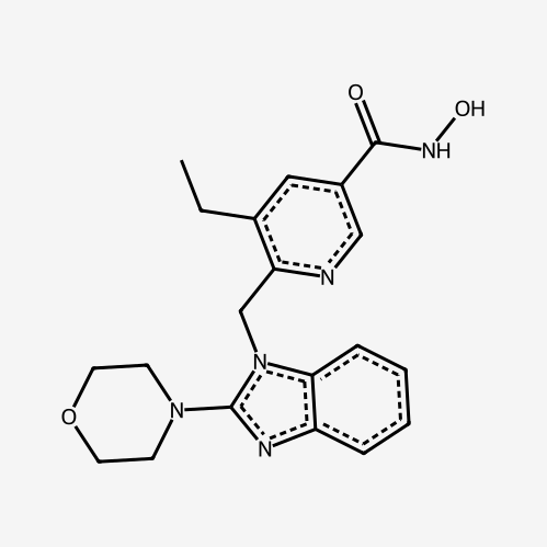 CCc1cc(C(=O)NO)cnc1Cn1c(N2CCOCC2)nc2ccccc21